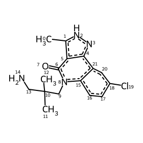 Cc1[nH]nc2c1c(=O)n(CC(C)(C)CN)c1ccc(Cl)cc21